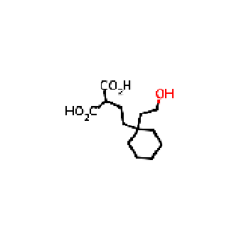 O=C(O)C(CCC1(CCO)CCCCC1)C(=O)O